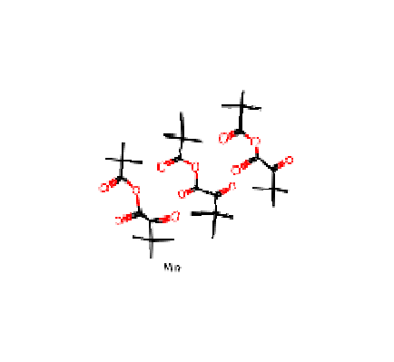 CC(C)(C)C(=O)OC(=O)C(=O)C(C)(C)C.CC(C)(C)C(=O)OC(=O)C(=O)C(C)(C)C.CC(C)(C)C(=O)OC(=O)C(=O)C(C)(C)C.[Mn]